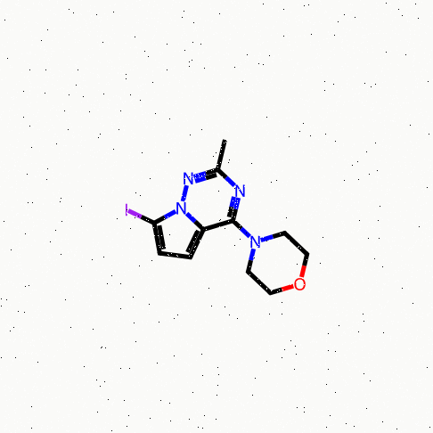 Cc1nc(N2CCOCC2)c2ccc(I)n2n1